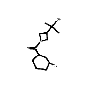 CC(C)(O)C1CN(C(=O)C2CCCC(C#N)C2)C1